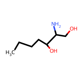 CCCCC(O)C(N)CO